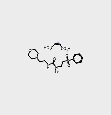 CC(C)N(CCS(=O)(=O)c1ccccc1)C(=O)NCCN1CCOCC1.O=C(O)/C=C\C(=O)O